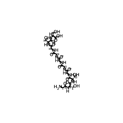 NCC(=O)N[C@@H](CO)C(=O)N[C@@H](CO)C(=O)NCC(=O)NCC(=O)NCC(=O)NCC(=O)NCC(=O)N[C@@H](CO)C(=O)N[C@@H](CO)C(=O)O